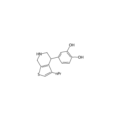 CCCc1csc2c1C(c1ccc(O)c(O)c1)CNC2